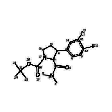 CN(C)C(=O)C1C(c2ccc(F)c(Cl)c2)CCN1C(=O)OC(C)(C)C